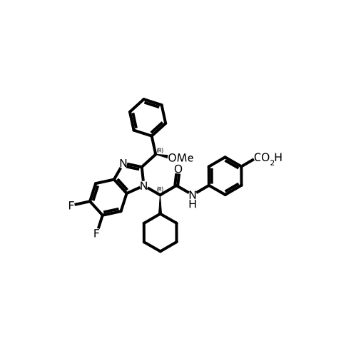 CO[C@H](c1ccccc1)c1nc2cc(F)c(F)cc2n1[C@@H](C(=O)Nc1ccc(C(=O)O)cc1)C1CCCCC1